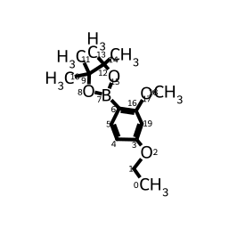 CCOc1ccc(B2OC(C)(C)C(C)(C)O2)c(OC)c1